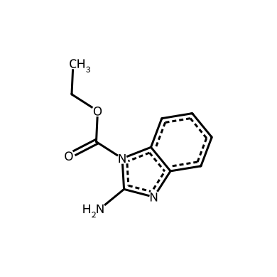 CCOC(=O)n1c(N)nc2ccccc21